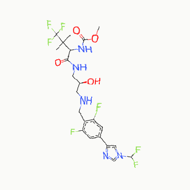 COC(=O)NC(C(=O)NC[C@@H](O)CNCc1c(F)cc(-c2cn(C(F)F)cn2)cc1F)C(C)(C)C(F)(F)F